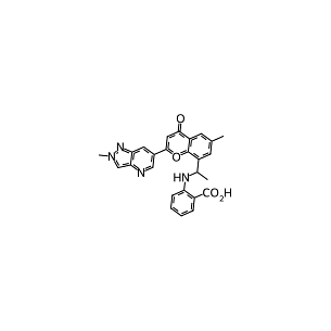 Cc1cc(C(C)Nc2ccccc2C(=O)O)c2oc(-c3cnc4cn(C)nc4c3)cc(=O)c2c1